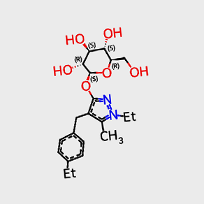 CCc1ccc(Cc2c(O[C@@H]3O[C@H](CO)[C@@H](O)[C@H](O)[C@H]3O)nn(CC)c2C)cc1